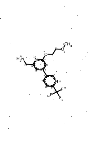 COCCOc1cc(-c2ccc(C(F)(F)F)nc2)cc(CN)n1